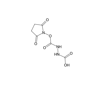 O=C(O)NNC(=O)ON1C(=O)CCC1=O